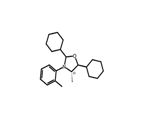 Cc1ccccc1N1C(C2CCCCC2)OC(C2CCCCC2)[C@@H]1C